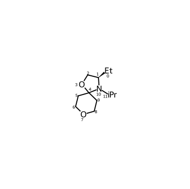 CC[C@@H]1COC2(CCOCC2)N1C(C)C